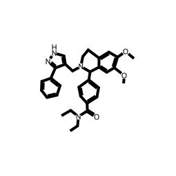 CCN(CC)C(=O)c1ccc(C2c3cc(OC)c(OC)cc3CCN2Cc2c[nH]nc2-c2ccccc2)cc1